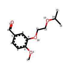 COc1ccc(C=O)cc1OCCOC(C)C